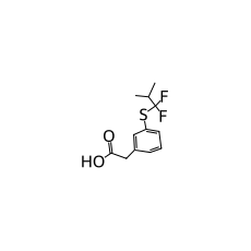 CC(C)C(F)(F)Sc1cccc(CC(=O)O)c1